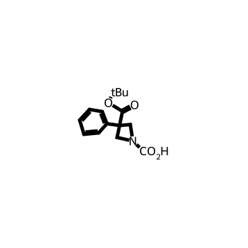 CC(C)(C)OC(=O)C1(c2ccccc2)CN(C(=O)O)C1